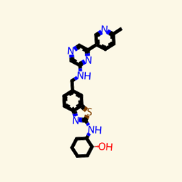 Cc1ccc(-c2cncc(NCc3ccc4nc(NC5CCCC[C@H]5O)sc4c3)n2)cn1